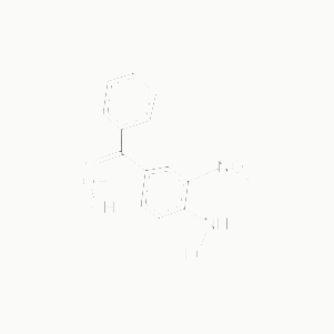 CCNc1ccc(C(=O)c2ccccc2)cc1[N+](=O)[O-].CO